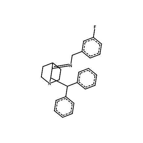 Fc1cccc(CN=C2C3CCN(CC3)C2C(c2ccccc2)c2ccccc2)c1